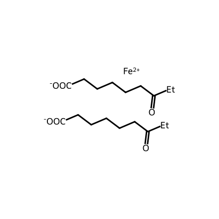 CCC(=O)CCCCCC(=O)[O-].CCC(=O)CCCCCC(=O)[O-].[Fe+2]